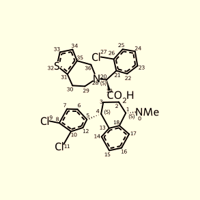 CN[C@H]1CC[C@@H](c2ccc(Cl)c(Cl)c2)c2ccccc21.O=C(O)[C@H](c1ccccc1Cl)N1CCc2sccc2C1